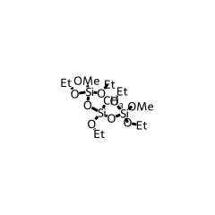 CCO[Si](C)(O[Si](OC)(OCC)OCC)O[Si](OC)(OCC)OCC